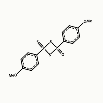 COc1ccc(P2(=O)SP(=S)(c3ccc(OC)cc3)S2)cc1